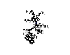 CCCOC(=O)c1c(/C=C/C(OCOC)C2OC(C)(C)OC2C(O)C#C[C@@H](C)[C@H](C)CC(C)(C)[Si](O)(c2ccccc2)c2ccccc2)cc(OC)cc1OCOC